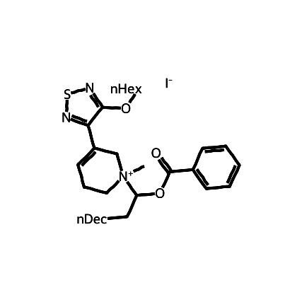 CCCCCCCCCCCC(OC(=O)c1ccccc1)[N+]1(C)CCC=C(c2nsnc2OCCCCCC)C1.[I-]